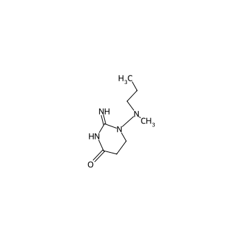 CCCN(C)N1CCC(=O)NC1=N